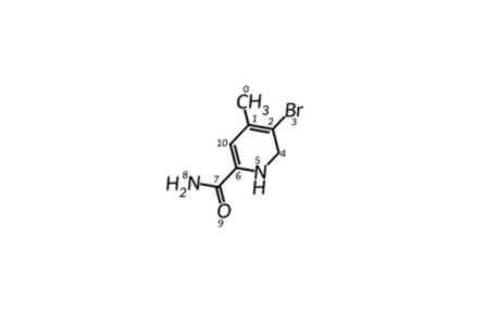 CC1=C(Br)CNC(C(N)=O)=C1